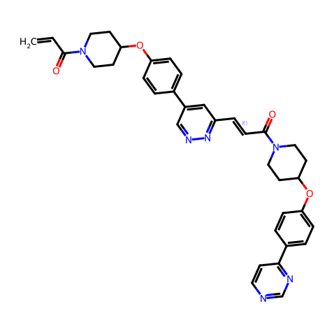 C=CC(=O)N1CCC(Oc2ccc(-c3cnnc(/C=C/C(=O)N4CCC(Oc5ccc(-c6ccncn6)cc5)CC4)c3)cc2)CC1